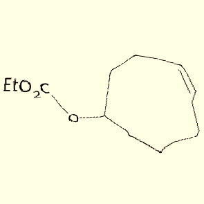 CCOC(=O)OC1CCC=CCCC1